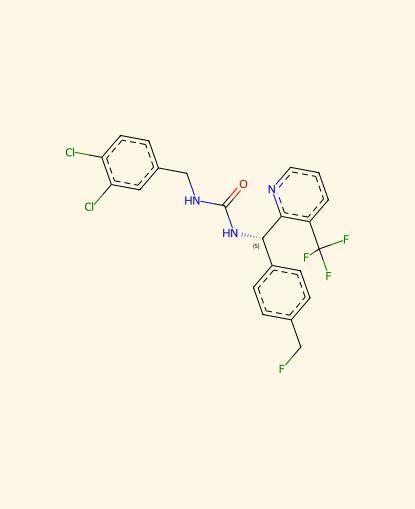 O=C(NCc1ccc(Cl)c(Cl)c1)N[C@@H](c1ccc(CF)cc1)c1ncccc1C(F)(F)F